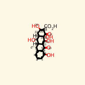 C[C@H]1c2cccc(O)c2C(=O)C2=C(O)[C@]3(O)C(=O)C(C(=O)O)=C(O)C[C@@H]3[C@@H](O)[C@@H]21